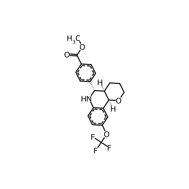 COC(=O)c1ccc([C@H]2Nc3ccc(OC(F)(F)F)cc3[C@@H]3OCCC[C@H]23)cc1